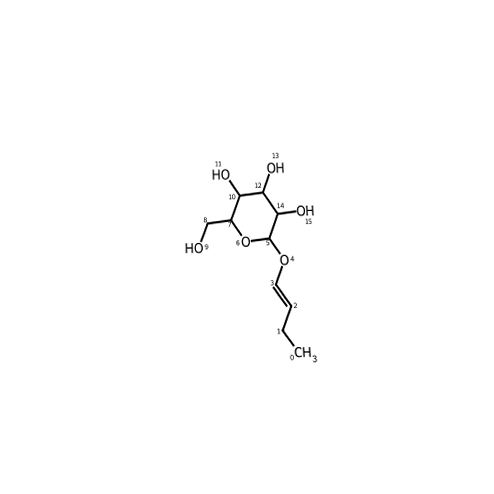 CCC=COC1OC(CO)C(O)C(O)C1O